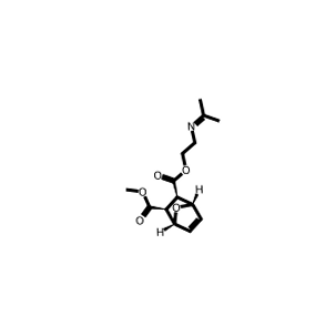 COC(=O)[C@H]1[C@@H](C(=O)OCCN=C(C)C)[C@@H]2C=C[C@H]1O2